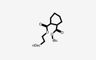 CCCCCCCCCCCCOC(=O)C1CCCCC1C(=O)OC(C)CC